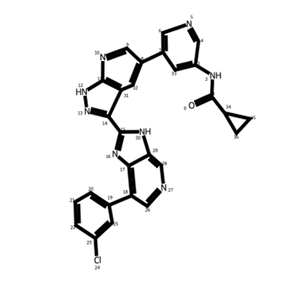 O=C(Nc1cncc(-c2cnc3[nH]nc(-c4nc5c(-c6cccc(Cl)c6)cncc5[nH]4)c3c2)c1)C1CC1